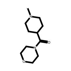 [CH2]N1CCC(C(=O)N2CCOCC2)CC1